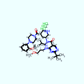 COCCCNc1nc(C(C)(C)C)ncc1C(=O)N(CC(C)C)[C@@H]1CNC[C@H](C(=O)N2CCN(c3ccccc3OC)CC2)C1.Cl.Cl.Cl